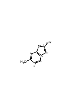 Cc1cc2sc(C(C)C)nc2cn1